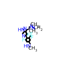 C=NN(C)/C=C(\C)c1n[nH]c2cnc(-c3c(F)cc(CNC)cc3C(F)(F)F)cc12